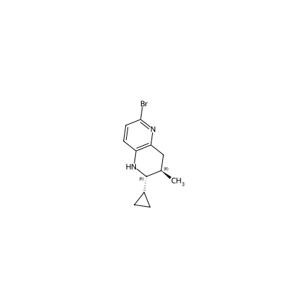 C[C@@H]1Cc2nc(Br)ccc2N[C@H]1C1CC1